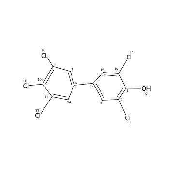 Oc1c(Cl)cc(-c2cc(Cl)c(Cl)c(Cl)c2)cc1Cl